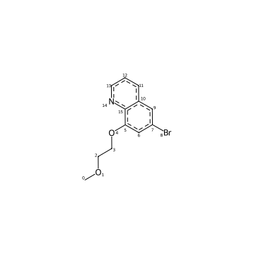 COCCOc1cc(Br)cc2cccnc12